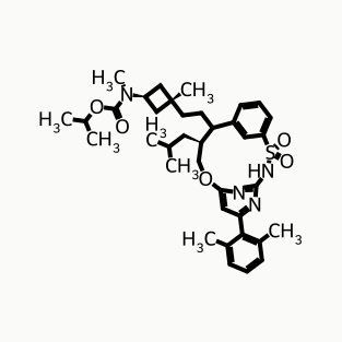 Cc1cccc(C)c1-c1cc2nc(n1)NS(=O)(=O)c1cccc(c1)C(CC[C@]1(C)C[C@@H](N(C)C(=O)OC(C)C)C1)[C@H](CC(C)C)CO2